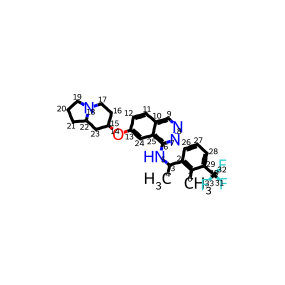 Cc1c(C(C)Nc2nncc3ccc(OC4CCN5CCCC5C4)cc23)cccc1C(F)(F)F